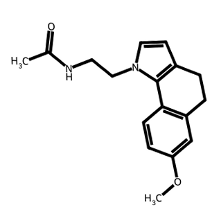 COc1ccc2c(c1)CCc1ccn(CCNC(C)=O)c1-2